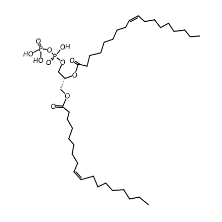 CCCCCCCC/C=C\CCCCCCCC(=O)OC[C@H](COP(=O)(O)OP(=O)(O)O)OC(=O)CCCCCCC/C=C\CCCCCCCC